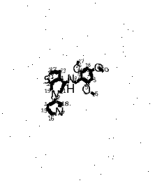 COc1cc(OC)c(CNC2=CN(c3cccnc3)Cc3sccc32)c(OC)c1